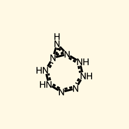 n1n[nH][nH]n2[nH]n2[nH][nH]1